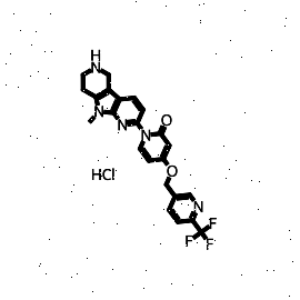 Cl.Cn1c2c(c3ccc(-n4ccc(OCc5ccc(C(F)(F)F)nc5)cc4=O)nc31)CNCC2